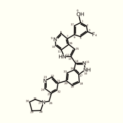 Oc1cc(F)cc(-c2cncc3[nH]c(-c4n[nH]c5ccc(-c6cncc(CN7CCCC7)c6)cc45)cc23)c1